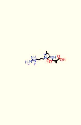 CC(C)C[C@H](NC(=O)C1CC1C(=O)O)C(=O)NCCCCNC(=N)N